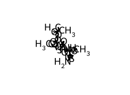 COCC1=C(C(=O)OCOC(=O)C(C)C)N2C(=O)C(NC(=O)C(=NOC)c3csc(N)n3)[C@@H]2SC1